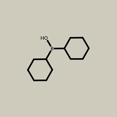 OB(C1CCCCC1)C1CCCCC1